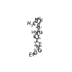 CCOCC(=O)N1CCC(c2ccc(NC(=O)C3CN(c4cccnc4C)C3)cc2)CC1